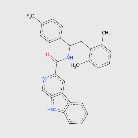 Cc1cccc(C)c1CC(NC(=O)c1cc2c(cn1)[nH]c1ccccc12)c1ccc(C(F)(F)F)cc1